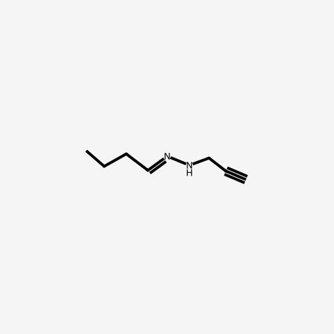 C#CCNN=CCCC